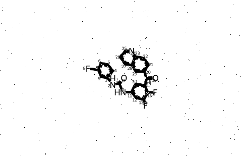 O=C(Nc1cccc(F)c1)Nc1cc(F)c(F)c(C(=O)c2ccc3ncccc3c2)c1